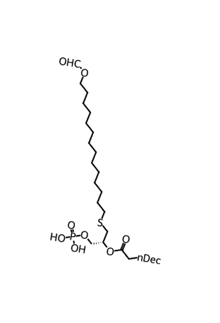 CCCCCCCCCCCC(=O)O[C@H](COP(=O)(O)O)CSCCCCCCCCCCCCCCOC=O